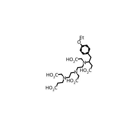 CCOc1ccc(CC(CC(=O)O)N(CCN(CCN(CCC(=O)O)CC(=O)O)CC(=O)O)CC(=O)O)cc1